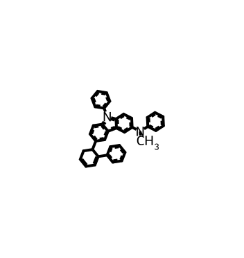 CN(c1ccccc1)c1ccc2c(c1)c1cc(C3CC=CC=C3c3ccccc3)ccc1n2-c1ccccc1